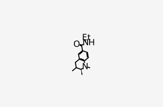 CCNC(=O)c1ccc2c(c1)CC(C)[C@H](C)N2C